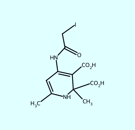 CC1=CC(NC(=O)CI)=C(C(=O)O)C(C)(C(=O)O)N1